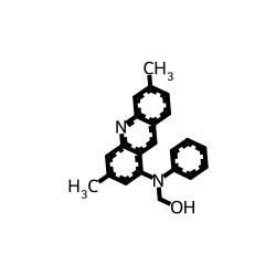 Cc1ccc2cc3c(N(CO)c4ccccc4)cc(C)cc3nc2c1